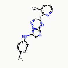 FC(F)(F)c1ccc(Nc2cnc3nc(-c4ncccc4C(F)(F)F)cnn23)cc1